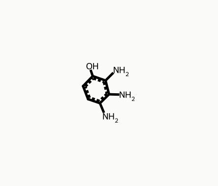 Nc1ccc(O)c(N)c1N